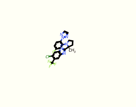 C[C@@]1(c2nc3cc(C(F)(F)F)c(Cl)cc3[nH]2)CCCN1c1cc(F)c[c]c1-n1nccn1